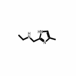 CCNCc1nc(C)c[nH]1